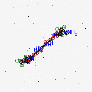 N[C@@H]1CCCN([C@H]2Cc3c(Cl)cc(Cl)cc3[C@@H]2Oc2c(F)cc(S(=O)(=O)NCCOCCOCCNC(=O)NCCCCNC(=O)NCCOCCOCCNS(=O)(=O)c3cc(F)c(O[C@H]4c5cc(Cl)cc(Cl)c5C[C@@H]4N4CCC[C@@H](N)C4)c(F)c3)cc2F)C1